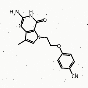 Cc1cn(CCOc2ccc(C#N)cc2)c2c(=O)[nH]c(N)nc12